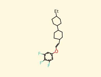 CCC1CCC(C2CCC(C=COc3cc(F)c(F)c(F)c3)CC2)CC1